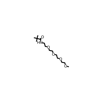 COCCOCCOCCOCCNC(=O)C(C)(C)C